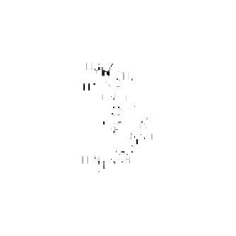 CC(=O)N[C@H](C(=O)N1C[C@H](O)C[C@H]1C(=O)N[C@@H](C)c1ccc(-c2scnc2C)cc1OC1CCC(C(=O)N2CC(Nc3nccc(Sc4cnc(N5CCC(C)(CN)CC5)cn4)c3Cl)C2)CC1)C(C)(C)C